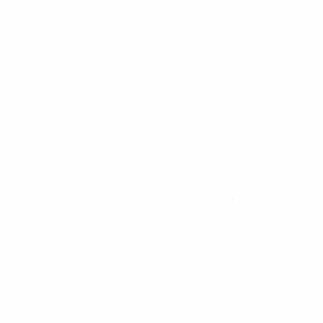 COc1cc(C)c(C(C)c2ccc(OC)c(C(C)C)c2)c(C)c1